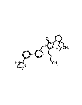 CCCCc1cn(C2CCCC2(CC)CC)c(=O)n1Cc1cc(-c2cccc(-c3nnn[nH]3)c2)ccn1